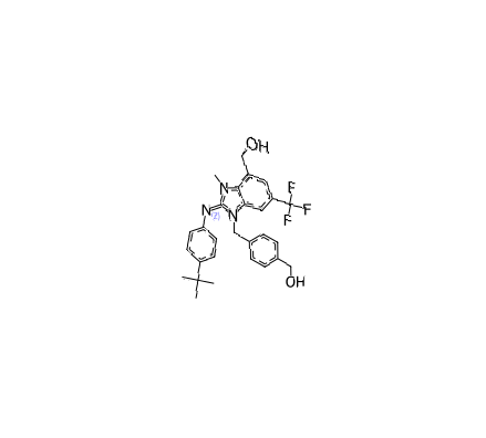 Cn1/c(=N/c2ccc(C(C)(C)C)cc2)n(Cc2ccc(CO)cc2)c2cc(C(F)(F)F)cc(CO)c21